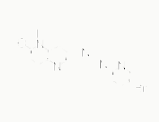 CCc1cc2ncc(CN3CCN(c4ccc(Br)cn4)CC3)cc2[nH]c1=O